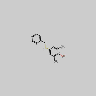 Cc1cc(SCc2ccccc2)cc(C)c1O